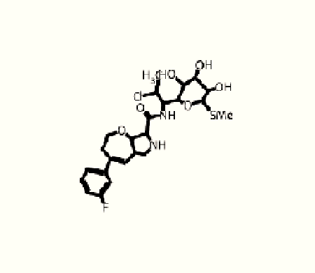 CSC1OC(C(NC(=O)C2NCC3C=C(c4cccc(F)c4)CCOC32)C(C)Cl)C(O)C(O)C1O